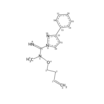 C=CCCON(C)C(=N)n1ccc(-c2ccccc2)n1